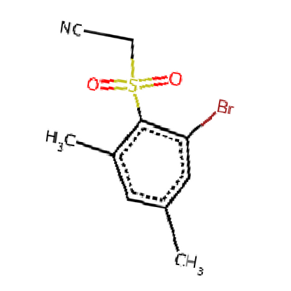 Cc1cc(C)c(S(=O)(=O)CC#N)c(Br)c1